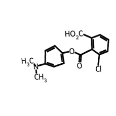 CN(C)c1ccc(OC(=O)c2c(Cl)cccc2C(=O)O)cc1